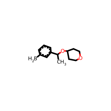 Bc1cccc(C(C)OC2CCOCC2)c1